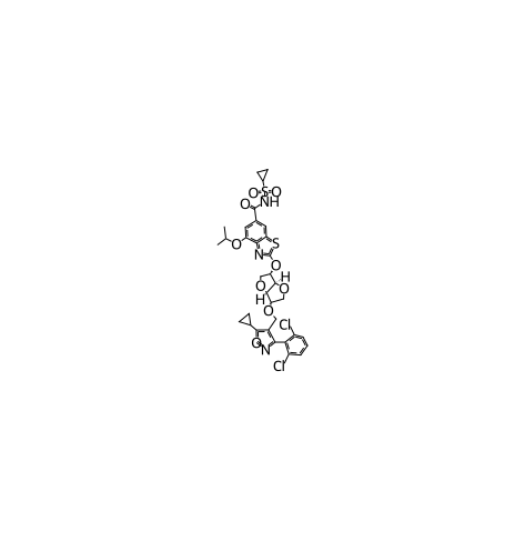 CC(C)Oc1cc(C(=O)NS(=O)(=O)C2CC2)cc2sc(O[C@@H]3CO[C@H]4[C@@H]3OC[C@H]4OCc3c(-c4c(Cl)cccc4Cl)noc3C3CC3)nc12